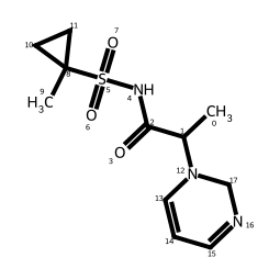 CC(C(=O)NS(=O)(=O)C1(C)CC1)N1C=CC=NC1